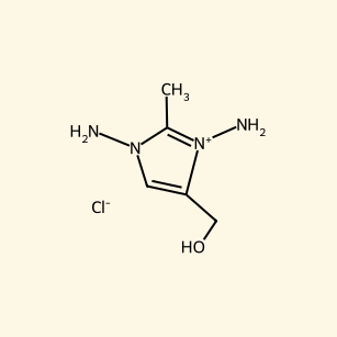 Cc1n(N)cc(CO)[n+]1N.[Cl-]